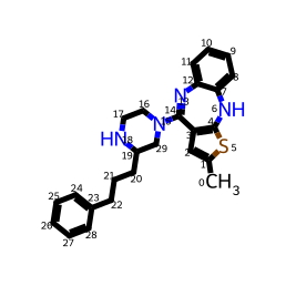 Cc1cc2c(s1)Nc1ccccc1N=C2N1CCNC(CCCc2ccccc2)C1